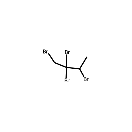 CC(Br)C(Br)(Br)CBr